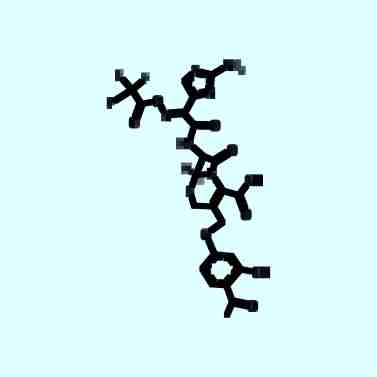 CC(=O)c1ccc(OCC2=C(C(=O)O)N3C(=O)C(NC(=O)C(=NOC(=O)C(F)(F)F)c4csc(N)n4)[C@@H]3SC2)cc1O